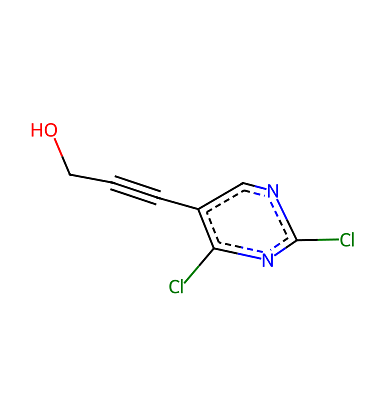 OCC#Cc1cnc(Cl)nc1Cl